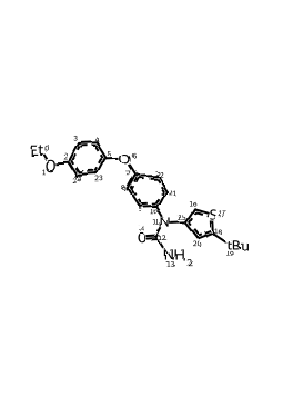 CCOc1ccc(Oc2ccc(N(C(N)=O)c3csc(C(C)(C)C)c3)cc2)cc1